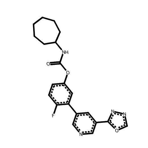 O=C(NC1CCCCCC1)Oc1ccc(F)c(-c2cncc(-c3nnco3)c2)c1